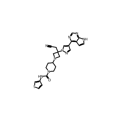 N#CCC1(n2cc(-c3ncnc4[nH]ccc34)cn2)CN(C2CCN(C(=O)Nc3ccsc3)CC2)C1